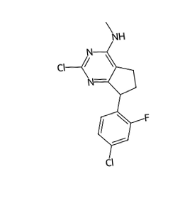 CNc1nc(Cl)nc2c1CCC2c1ccc(Cl)cc1F